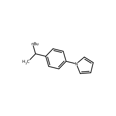 CCCCC(C)c1ccc(-n2cccc2)cc1